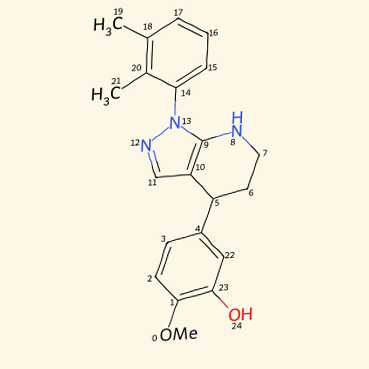 COc1ccc(C2CCNc3c2cnn3-c2cccc(C)c2C)cc1O